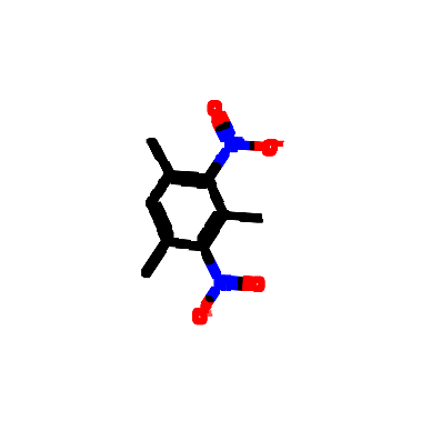 Cc1cc(C)c([N+](=O)[O-])c(C)c1[N+](=O)[O-]